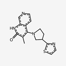 Cc1c(N2CCC(c3nccs3)C2)c2ccncc2[nH]c1=O